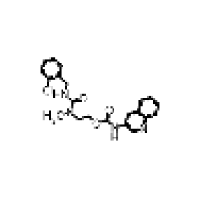 CN(CCOC(=O)Nc1cnc2ccccc2c1)C(=O)NCc1ccccc1Cl